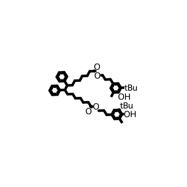 Cc1cc(CCCOC(=O)CCCCCCC(c2ccccc2)C(CCCCCCC(=O)OCCCc2cc(C)c(O)c(C(C)(C)C)c2)c2ccccc2)cc(C(C)(C)C)c1O